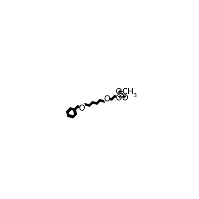 CS(=O)(=O)OCCOCCCCCCOCc1ccccc1